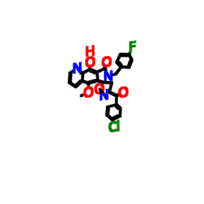 COc1c2c(c(O)c3ncccc13)C(=O)N(Cc1ccc(F)cc1)C21CC(C(=O)c2ccc(Cl)cc2)=NO1